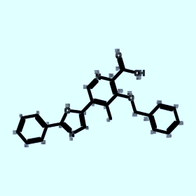 Cc1c(-c2cnc(-c3ccccc3)o2)cnc(C(=O)O)c1OCc1ccccc1